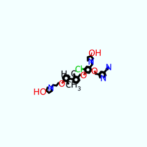 Cc1c(COc2cc(OCc3cncc(C#N)c3)c(CN3CC[C@@H](O)C3)cc2Cl)cccc1-c1cccc(OCCCN2CC[C@@H](O)C2)c1C